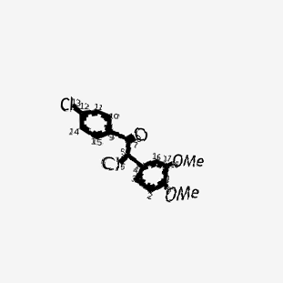 COc1ccc(C(Cl)C(=O)c2ccc(Cl)cc2)cc1OC